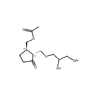 CC(=O)OC[C@@H]1CCC(=O)[C@H]1CSCC(O)CO